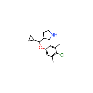 Cc1cc(O[C@@H](C2CC2)[C@H]2CCNC2)cc(C)c1Cl